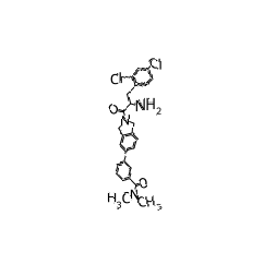 CN(C)C(=O)c1cccc(-c2ccc3c(c2)CN(C(=O)C(N)Cc2ccc(Cl)cc2Cl)C3)c1